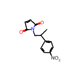 CC(CN1C(=O)C=CC1=O)c1ccc([N+](=O)[O-])cc1